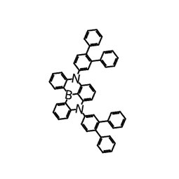 c1ccc(-c2ccc(N3c4ccccc4B4c5ccccc5N(c5ccc(-c6ccccc6)c(-c6ccccc6)c5)c5cccc3c54)cc2-c2ccccc2)cc1